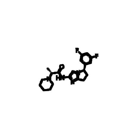 C[C@H](C(=O)Nc1cn2c(n1)CC[C@@H]2c1cc(F)cc(F)c1)N1CCCCC1